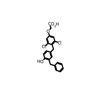 O=C(O)COc1cc(Cl)c(Cc2ccc(O)c(Cc3ccccc3)c2)c(Cl)c1